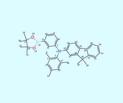 Cc1cc(C)c(N(c2cccc(B3OC(C)(C)C(C)(C)O3)c2)c2ccc3c(c2)C(C)(C)c2ccccc2-3)c(C)c1